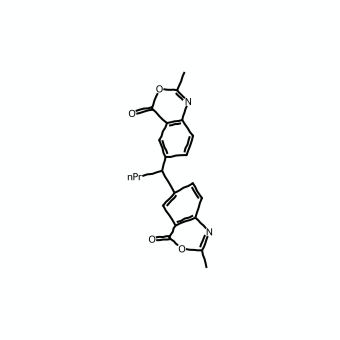 CCCC(c1ccc2nc(C)oc(=O)c2c1)c1ccc2nc(C)oc(=O)c2c1